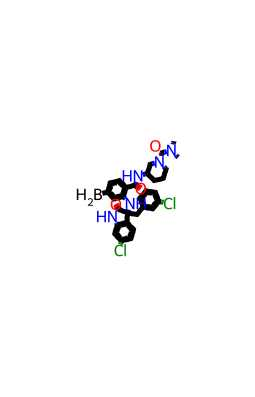 Bc1ccc(C(=O)NC2CCCN(C(=O)N(C)C)C2)c(NC2(Cc3cccc(Cl)c3)C(=O)Nc3cc(Cl)ccc32)c1